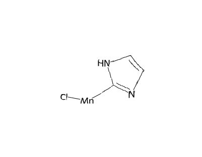 [Cl][Mn][c]1ncc[nH]1